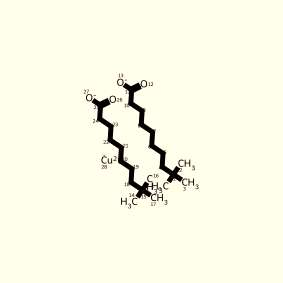 CC(C)(C)CCCCCCCC(=O)[O-].CC(C)(C)CCCCCCCC(=O)[O-].[Cu+2]